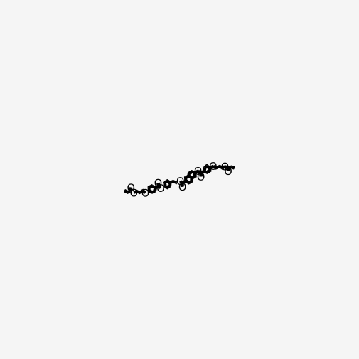 C=CC(=O)OCCCOc1ccc(C(=O)Oc2ccc(CCOC(=O)c3ccc4cc(OC(=O)c5ccc(OCCCOC(=O)C=C)cc5)ccc4c3)cc2)cc1